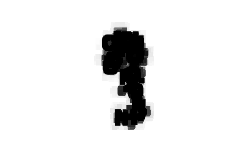 CC(OCCN1CCC(C)(C#N)C1)c1ccc(-c2ccc3nnc4c(c3c2)n(C2CCOCC2)c(=O)n4C)cn1